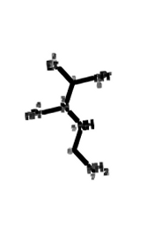 [CH2]CCC(CC)N(CCC)NCN